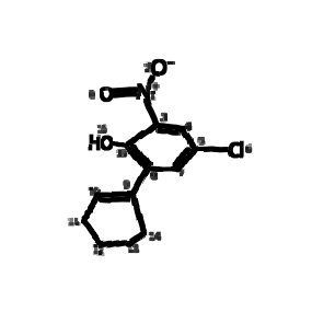 O=[N+]([O-])c1cc(Cl)cc(C2=CCCCC2)c1O